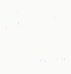 Cl.NC1(C(=O)O)CCCCC(CCB(O)O)C1